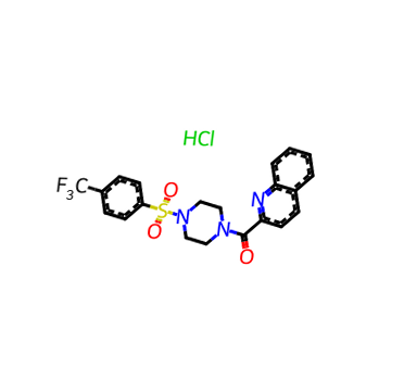 Cl.O=C(c1ccc2ccccc2n1)N1CCN(S(=O)(=O)c2ccc(C(F)(F)F)cc2)CC1